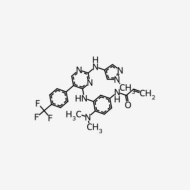 C=CC(=O)Nc1ccc(N(C)C)c(Nc2nc(Nc3cnn(C)c3)ncc2-c2ccc(C(F)(F)F)cc2)c1